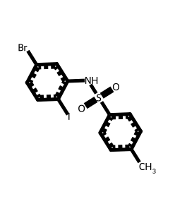 Cc1ccc(S(=O)(=O)Nc2cc(Br)ccc2I)cc1